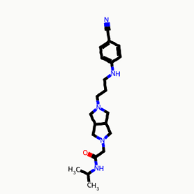 CC(C)NC(=O)CN1CC2CN(CCCNc3ccc(C#N)cc3)CC2C1